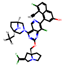 [2H]C([2H])([2H])C[C@@]12CC[C@@H](CN(c3nc(OC[C@@]45CCCN4CC(=C(F)F)C5)nc4c(F)c(-c5cc(O)cc6ccc(F)c(C#C)c56)ncc34)C1)N2